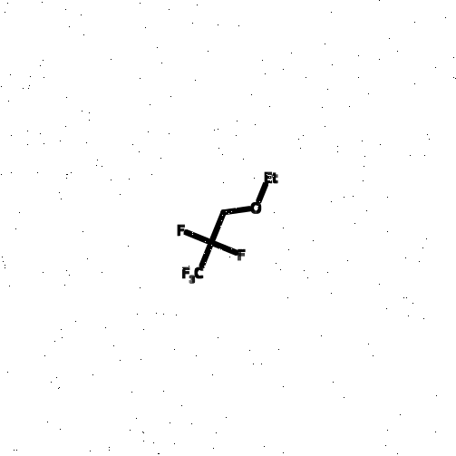 [CH2]COCC(F)(F)C(F)(F)F